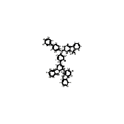 CC1(C)c2ccccc2-c2ccc(N(c3ccc(-c4ccccc4)cc3)c3ccc(-c4cc(-c5cccc6c5sc5ccccc56)c5sc6ccccc6c5c4)cc3)cc21